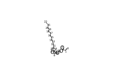 C=CC(=O)OCO[Si](C)(CCCCCCCCCCCCCC)OC